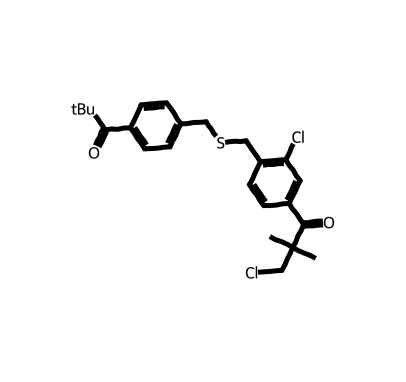 CC(C)(C)C(=O)c1ccc(CSCc2ccc(C(=O)C(C)(C)CCl)cc2Cl)cc1